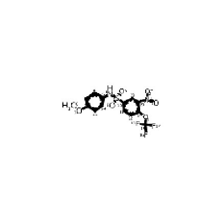 COc1ccc(NS(=O)(=O)c2ccc(OC(F)(F)F)c([N+](=O)[O-])c2)cc1